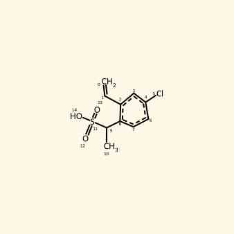 C=Cc1cc(Cl)ccc1C(C)S(=O)(=O)O